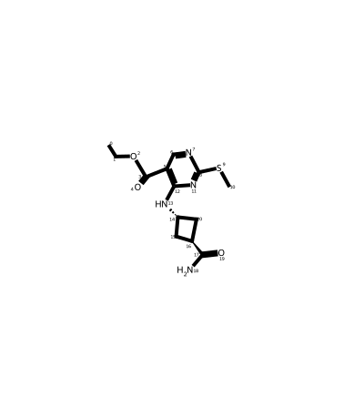 CCOC(=O)c1cnc(SC)nc1N[C@H]1C[C@H](C(N)=O)C1